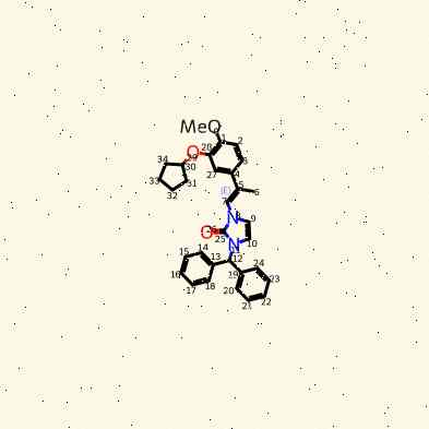 COc1ccc(/C(C)=C/n2ccn(C(c3ccccc3)c3ccccc3)c2=O)cc1OC1CCCC1